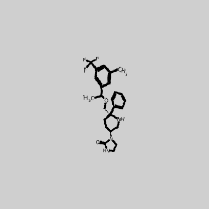 Cc1cc(C(C)OC[C@@]2(c3ccccc3)CC[C@H](N3CCNC3=O)CN2)cc(C(F)(F)F)c1